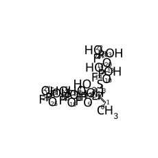 CC=CCS(=O)(=O)O.O=P(O)(O)F.O=P(O)(O)F.O=P(O)(O)F.O=P(O)(O)F.O=P([O-])(O)F.[Li+]